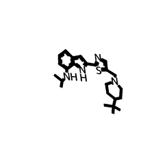 CC(C)Nc1cccc2cc(-c3ncc(CN4CCC(C(C)(C)C)CC4)s3)[nH]c12